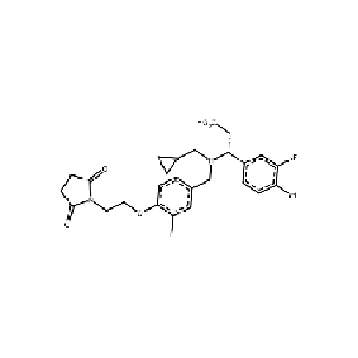 O=C(O)C[C@H](c1ccc(Cl)c(F)c1)N(Cc1ccc(OCCN2C(=O)CCC2=O)c(F)c1)CC1CC1